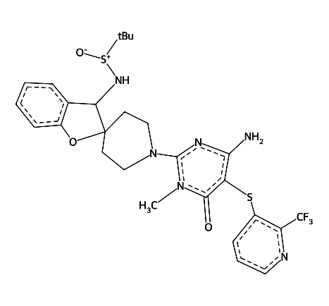 Cn1c(N2CCC3(CC2)Oc2ccccc2C3N[S+]([O-])C(C)(C)C)nc(N)c(Sc2cccnc2C(F)(F)F)c1=O